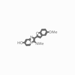 CNc1c(-c2cc3cc(OC)ccc3o2)nc2cc(O)ccn12